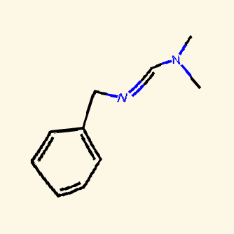 CN(C)C=NCc1ccccc1